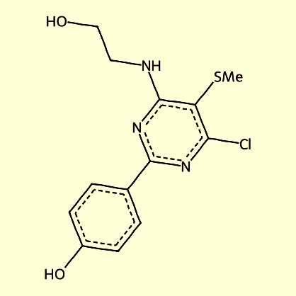 CSc1c(Cl)nc(-c2ccc(O)cc2)nc1NCCO